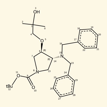 CC(C)(O)CO[C@@H]1CN(C(=O)OC(C)(C)C)C[C@H]1N(Cc1ccccc1)Cc1ccccc1